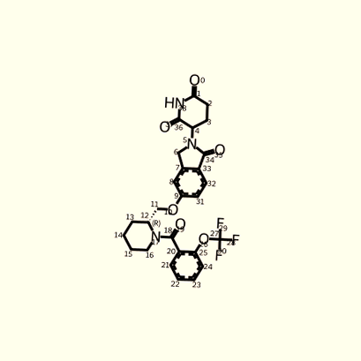 O=C1CCC(N2Cc3cc(OC[C@H]4CCCCN4C(=O)c4ccccc4OC(F)(F)F)ccc3C2=O)C(=O)N1